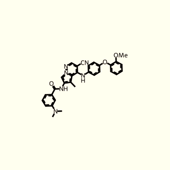 COc1ccccc1Oc1ccc(Nc2c(C#N)cnn3cc(NC(=O)c4cccc(N(C)C)c4)c(C)c23)cc1